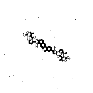 CC[C@H]1CC[C@@H](c2ncc(-c3ccc4c(c3)COc3cc5c(ccc6nc(C7CC[C@H](C)N7C(=O)[C@@H](NC(=O)OC)C(C)C)[nH]c65)cc3-4)[nH]2)N1C(=O)[C@@H](NC(=O)OC)C(C)C